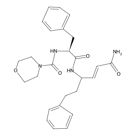 NC(=O)C=CC(CCc1ccccc1)NC(=O)[C@H](Cc1ccccc1)NC(=O)N1CCOCC1